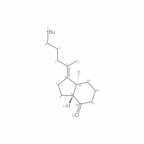 C/C(CCCC(C)(C)C)=C1/CC[C@H]2C(=O)CCC[C@]12C